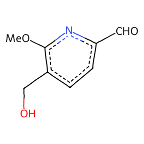 COc1nc(C=O)ccc1CO